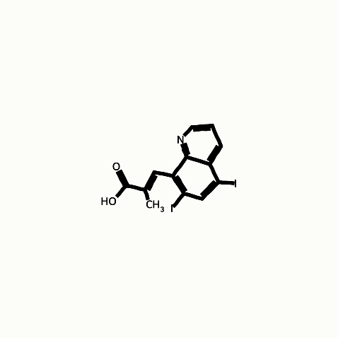 CC(=Cc1c(I)cc(I)c2cccnc12)C(=O)O